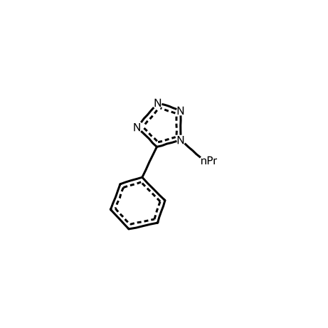 CCCn1nnnc1-c1ccccc1